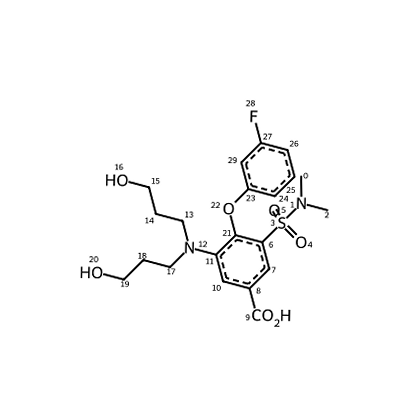 CN(C)S(=O)(=O)c1cc(C(=O)O)cc(N(CCCO)CCCO)c1Oc1cccc(F)c1